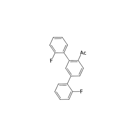 CC(=O)c1ccc(-c2ccccc2F)cc1-c1ccccc1F